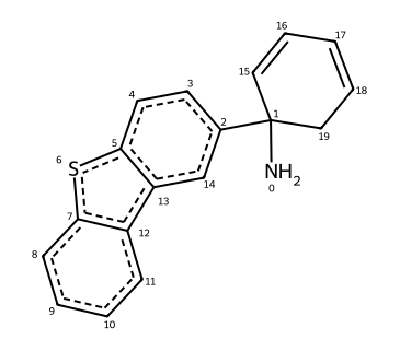 NC1(c2ccc3sc4ccccc4c3c2)C=CC=CC1